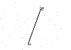 O=C(O)CCCCCCCCCCCCCCCCCCCCCCCCCCCCCCCCCS